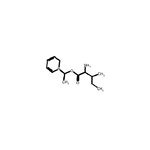 CCC(C)C(N)C(=O)OC(C)N1C=CC=CC1